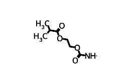 CC(C)C(=O)OCCOC([NH])=O